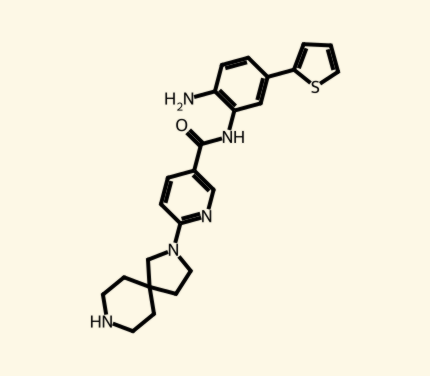 Nc1ccc(-c2cccs2)cc1NC(=O)c1ccc(N2CCC3(CCNCC3)C2)nc1